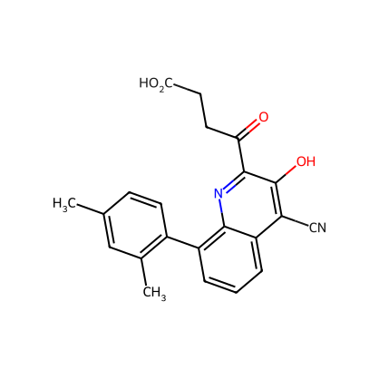 Cc1ccc(-c2cccc3c(C#N)c(O)c(C(=O)CCC(=O)O)nc23)c(C)c1